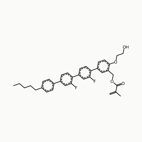 C=C(C)C(=O)OCc1cc(-c2ccc(-c3ccc(-c4ccc(CCCCC)cc4)cc3F)cc2F)ccc1OCCO